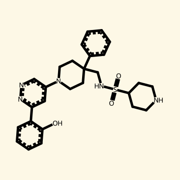 O=S(=O)(NCC1(c2ccccc2)CCN(c2cnnc(-c3ccccc3O)c2)CC1)C1CCNCC1